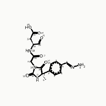 C[C@]1(c2ccc(C=NN)cc2)NC(=O)N(CC(=O)N[C@H]([C]=O)CC(=O)O)C1=O